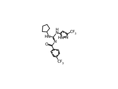 O=C(/N=C(/Nc1cc(C(F)(F)F)n[nH]1)NC1CCCC1)c1ccc(C(F)(F)F)cc1